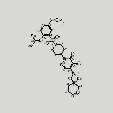 CCc1cc(S(=O)(=O)N2CCC(n3ncc(NC[C@@]4(F)CCCOC4)c(Cl)c3=O)CC2)c(OC(F)F)cn1